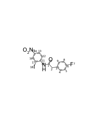 O=C(Cc1ccc(F)cc1)Nc1ccc([N+](=O)[O-])cc1I